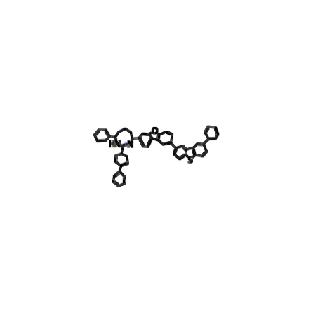 C1=CC(/C2=N/C(c3ccc4c(c3)oc3ccc(-c5ccc6sc7ccc(-c8ccccc8)cc7c6c5)cc34)CCCC(c3ccccc3)N2)CC=C1c1ccccc1